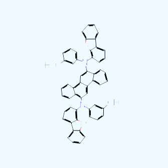 Cc1cccc(N(c2cc3c4ccccc4c(N(c4cccc(C)c4)c4cccc5c4oc4ccccc45)cc3c3ccccc23)c2cccc3c2oc2ccccc23)c1